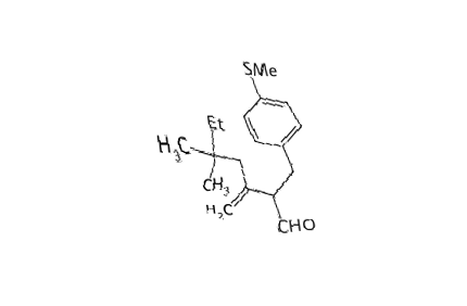 C=C(CC(C)(C)CC)C(C=O)Cc1ccc(SC)cc1